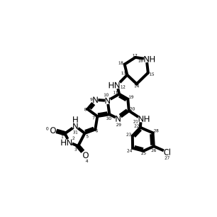 O=C1NC(=O)/C(=C/c2cnn3c(NC4CCNCC4)cc(Nc4cccc(Cl)c4)nc23)N1